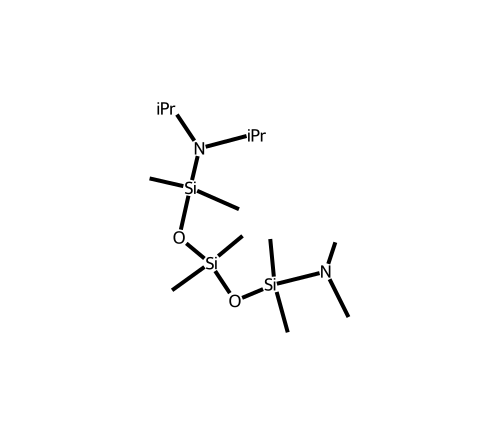 CC(C)N(C(C)C)[Si](C)(C)O[Si](C)(C)O[Si](C)(C)N(C)C